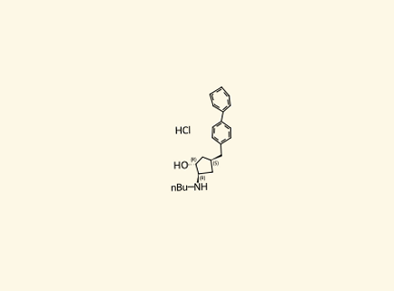 CCCCN[C@@H]1C[C@H](Cc2ccc(-c3ccccc3)cc2)C[C@H]1O.Cl